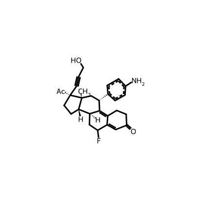 CC(=O)[C@@]1(C#CCO)CC[C@H]2[C@@H]3CC(F)C4=CC(=O)CCC4=C3[C@@H](c3ccc(N)cc3)C[C@@]21C